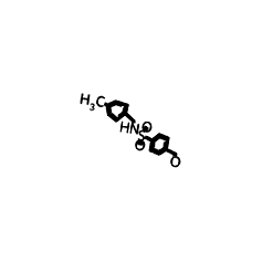 Cc1ccc(CNS(=O)(=O)c2ccc(C=O)cc2)cc1